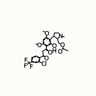 COc1cc(OC)c(C2CCN(C)C2COC(C)=O)c(O)c1C(=O)CC(=O)c1ccc(C(F)(F)F)cc1Cl